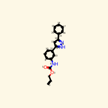 C=CCOC(=O)Nc1cccc(-c2cc(-c3ccccc3)n[nH]2)c1